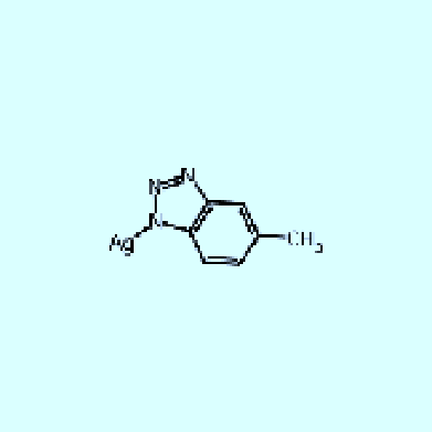 Cc1ccc2c(c1)nn[n]2[Ag]